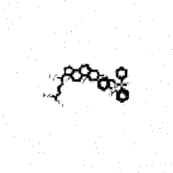 CC(C)CCC[C@@H](C)[C@H]1CCC2C3CC=C4C[C@@H](OCCN(P(=O)(c5ccccc5)c5ccccc5)P(=O)(c5ccccc5)c5ccccc5)CC[C@]4(C)C3CC[C@@]21C